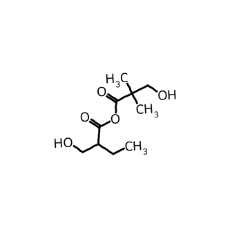 CCC(CO)C(=O)OC(=O)C(C)(C)CO